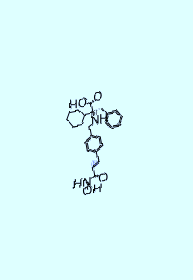 O=C(/C=C/c1ccc(CN[C@](Cc2ccccc2)(C(=O)O)C2CCCCC2)cc1)NO